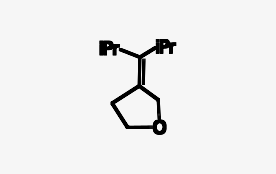 CC(C)C(=C1CCOC1)C(C)C